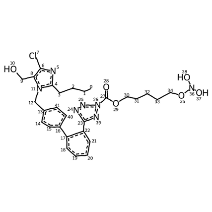 CCCCc1nc(Cl)c(CO)n1Cc1ccc(-c2ccccc2-c2nnn(C(=O)OCCCCCON(O)O)n2)cc1